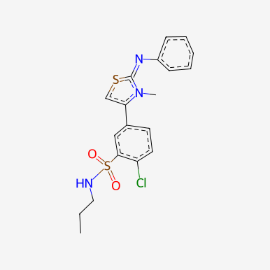 CCCNS(=O)(=O)c1cc(-c2cs/c(=N/c3ccccc3)n2C)ccc1Cl